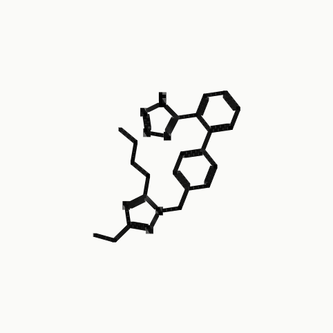 CCCCc1nc(CC)nn1Cc1ccc(-c2ccccc2-c2nnn[nH]2)cc1